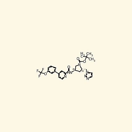 CC(C)(C)OC(=O)N1C[C@H](NC(=O)c2cc(-c3cccc(OC(F)(F)F)c3)ccn2)C[C@H]1Cn1ccnn1